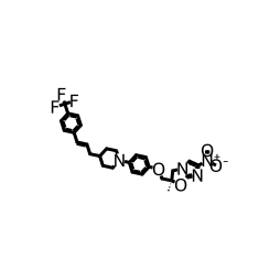 C[C@]1(COc2ccc(N3CCC(CC=Cc4ccc(C(F)(F)F)cc4)CC3)cc2)Cn2cc([N+](=O)[O-])nc2O1